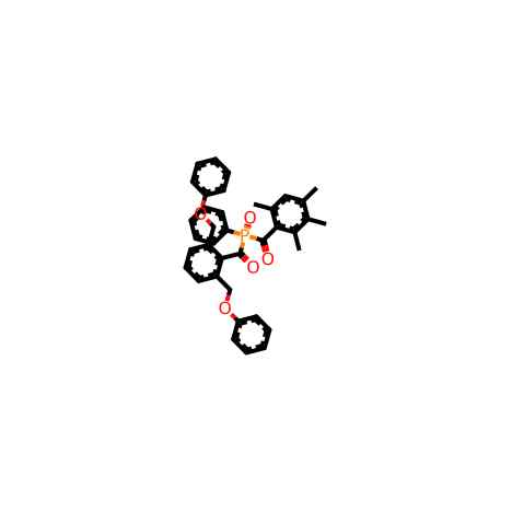 Cc1cc(C)c(C(=O)P(=O)(C(=O)c2c(COc3ccccc3)cccc2COc2ccccc2)c2ccccc2)c(C)c1C